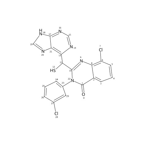 O=c1c2cccc(Cl)c2nc(C(S)c2ncnc3[nH]cnc23)n1-c1cccc(Cl)c1